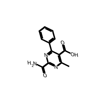 Cc1nc(C(N)=O)nc(-c2ccccc2)c1C(=O)O